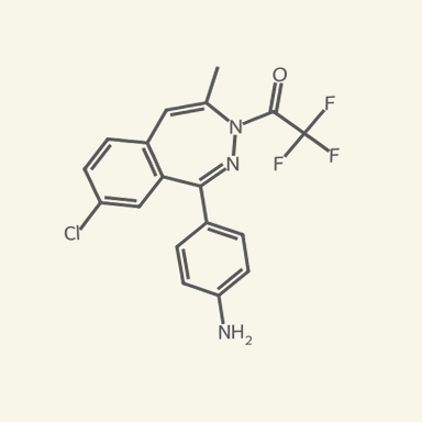 CC1=Cc2ccc(Cl)cc2C(c2ccc(N)cc2)=NN1C(=O)C(F)(F)F